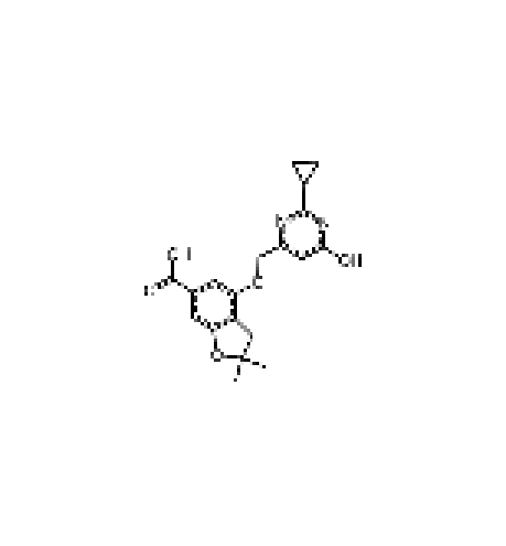 CC1(C)Cc2c(OCc3cc(O)nc(C4CC4)n3)cc(C(=O)O)cc2O1